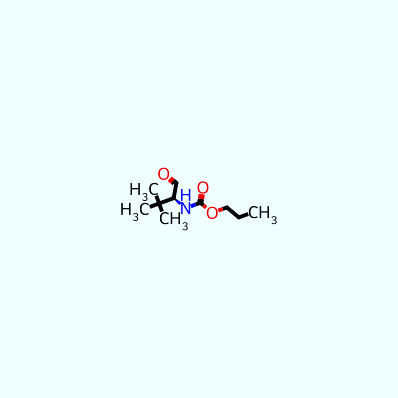 CCCOC(=O)N[C@H](C=O)C(C)(C)C